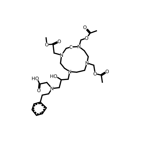 COC(=O)CN1CCN(COC(C)=O)CCN(COC(C)=O)CCN(CC(O)CN(CCc2ccccc2)CC(=O)O)CC1